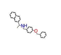 CC(NCc1ccc(OCc2ccccc2)cc1)c1ccc2ccccc2c1